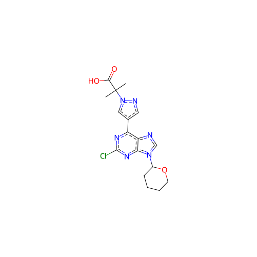 CC(C)(C(=O)O)n1cc(-c2nc(Cl)nc3c2ncn3C2CCCCO2)cn1